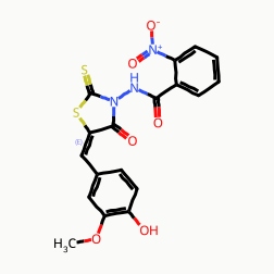 COc1cc(/C=C2/SC(=S)N(NC(=O)c3ccccc3[N+](=O)[O-])C2=O)ccc1O